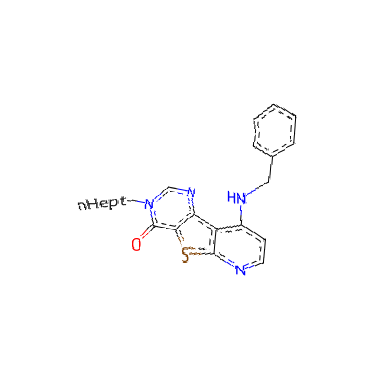 CCCCCCCn1cnc2c(sc3nccc(NCc4ccccc4)c32)c1=O